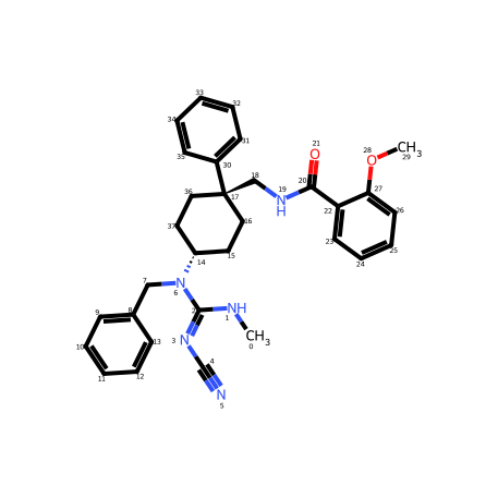 CNC(=NC#N)N(Cc1ccccc1)[C@H]1CC[C@@](CNC(=O)c2ccccc2OC)(c2ccccc2)CC1